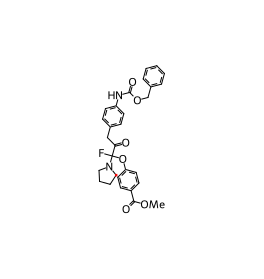 COC(=O)c1ccc(OC(F)(C(=O)Cc2ccc(NC(=O)OCc3ccccc3)cc2)N2CCCC2)cc1